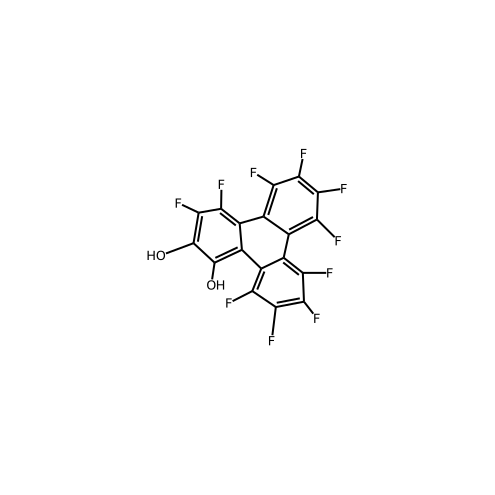 Oc1c(F)c(F)c2c(c1O)c1c(F)c(F)c(F)c(F)c1c1c(F)c(F)c(F)c(F)c21